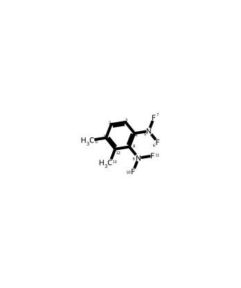 Cc1ccc(N(F)F)c(N(F)F)c1C